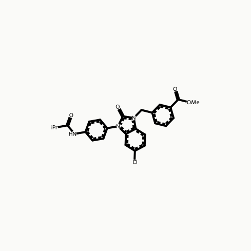 COC(=O)c1cccc(Cn2c(=O)n(-c3ccc(NC(=O)C(C)C)cc3)c3cc(Cl)ccc32)c1